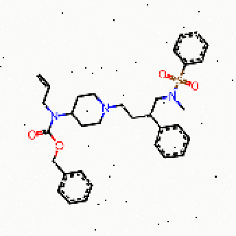 C=CCN(C(=O)OCc1ccccc1)C1CCN(CCC(CN(C)S(=O)(=O)c2ccccc2)c2ccccc2)CC1